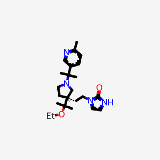 CCOC(C)(C)[C@@]1(CCn2cc[nH]c2=O)CCN(C(C)(C)c2ccc(C)nc2)C1